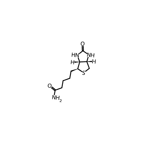 NC(=O)CCCC[C@@H]1SC[C@H]2NC(=O)N[C@@H]12